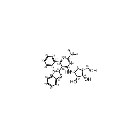 CN(C)c1nc(N[C@@H]2C[C@H](CO)[C@@H](O)[C@H]2O)c(-c2nc3ccccc3s2)c(-c2ccccc2)n1